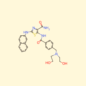 NC(=O)c1nc(Nc2ccc3ccccc3c2)sc1NC(=O)c1ccc(CN(CCO)CCO)cc1